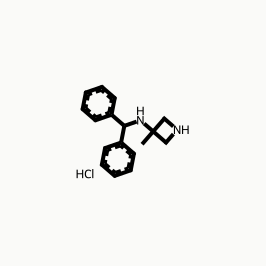 CC1(NC(c2ccccc2)c2ccccc2)CNC1.Cl